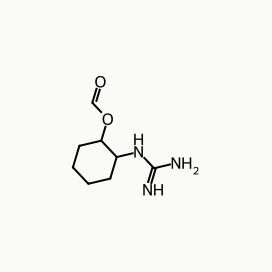 N=C(N)NC1CCCCC1OC=O